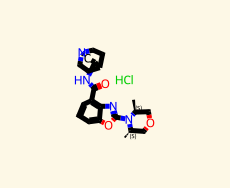 C[C@H]1COC[C@H](C)N1c1nc2c(C(=O)NC3CN4CCC3CC4)cccc2o1.Cl